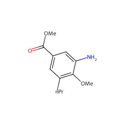 CCCc1cc(C(=O)OC)cc(N)c1OC